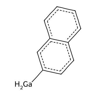 [GaH2][c]1ccc2ccccc2c1